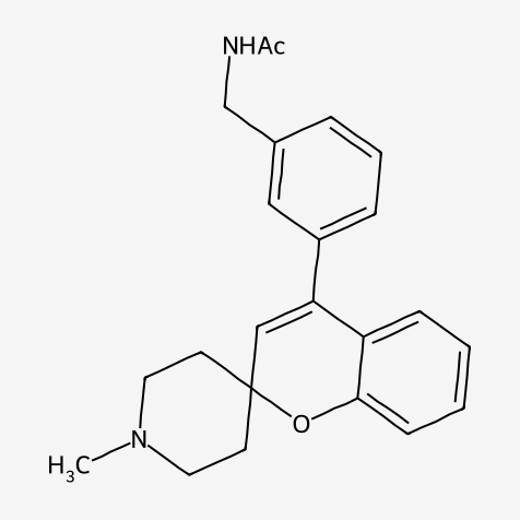 CC(=O)NCc1cccc(C2=CC3(CCN(C)CC3)Oc3ccccc32)c1